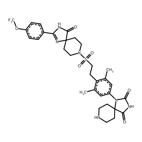 Cc1cc(N2C(=O)NC(=O)C23CCNCC3)cc(C)c1CCS(=O)(=O)N1CCC2(CC1)N=C(c1ccc(OC(F)(F)F)cc1)NC2=O